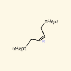 C[CH]CC[CH]CCC/C=C\CCCCCCCC